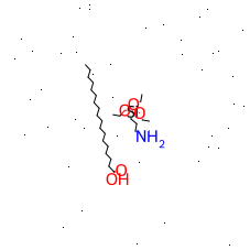 CCCCCCCCCCCCCCCCCC(=O)O.CCO[Si](CCCN)(OCC)OCC